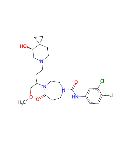 COCC(CCN1CCC2(CC2)[C@H](O)C1)N1CCN(C(=O)Nc2ccc(Cl)c(Cl)c2)CCC1=O